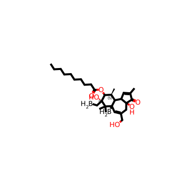 BC[C@@]1(O)C(OC(=O)CCCCCCCCC)[C@@H](C)C2C3C=C(C)C(=O)C3(O)CC(CO)=CC2(B)C1(C)C